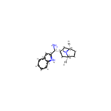 CN1[C@@H]2CC[C@H]1C[C@H](C(N)c1cc3ccccc3[nH]1)C2